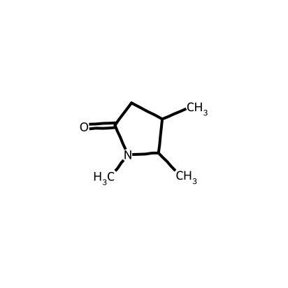 CC1CC(=O)N(C)C1C